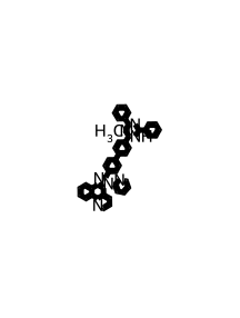 CN1C(c2ccccc2)=NC(c2ccccc2)NC1c1ccc(-c2ccc(-c3nc4c5ccccc5c5ncccc5c4n3-c3ccccn3)cc2)cc1